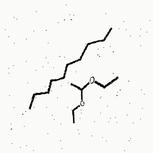 CCCCCCCCCC.CCOC(C)OCC